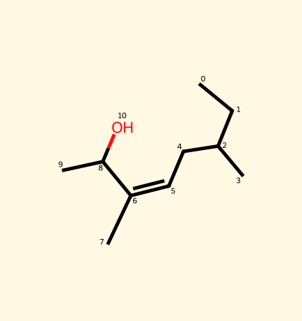 CCC(C)CC=C(C)C(C)O